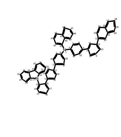 c1cc(-c2ccc(N(c3ccc(-c4ccc(-c5ccccc5-n5c6ccccc6c6ccccc65)cc4)cc3)c3cccc4ccccc34)cc2)cc(-c2ccc3ccccc3c2)c1